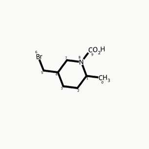 CC1CCC(CBr)CN1C(=O)O